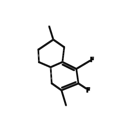 CC1=C(F)C(F)=C2CC(C)CCC2C1